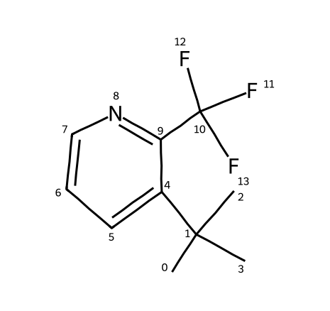 CC(C)(C)c1cccnc1C(F)(F)F